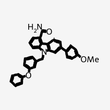 COc1ccc(-c2c[c]c3c4c(C(N)=O)cccc4n(Cc4cccc(Oc5ccccc5)c4)c3c2)cc1